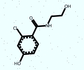 O=C(NCCO)c1ccc(O)cc1Cl